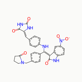 O=C1NC(=O)C(=Cc2ccc(NC(=C3C(=O)Nc4ccc([N+](=O)[O-])cc43)c3ccc(CN4CCCC4=O)cc3)cc2)N1